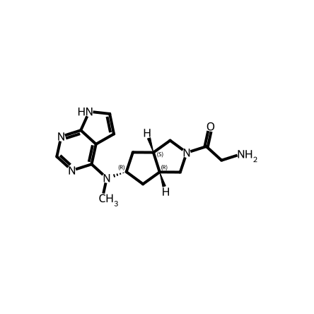 CN(c1ncnc2[nH]ccc12)[C@@H]1C[C@@H]2CN(C(=O)CN)C[C@@H]2C1